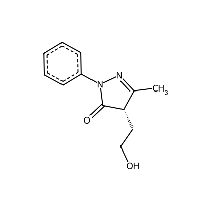 CC1=NN(c2ccccc2)C(=O)[C@H]1CCO